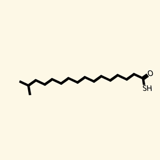 CC(C)CCCCCCCCCCCCCC(=O)S